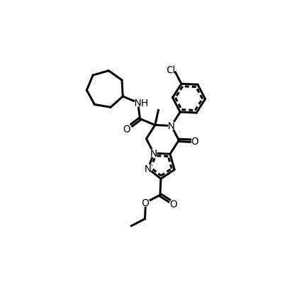 CCOC(=O)c1cc2n(n1)CC(C)(C(=O)NC1CCCCCC1)N(c1cccc(Cl)c1)C2=O